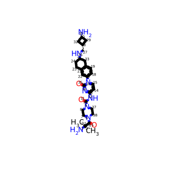 CC(C)(N)C(=O)N1CCN(C(=O)Nc2ccn(-c3ccc4c(c3)CCC(NC[C@H]3C[C@@H](N)C3)C4)c(=O)n2)CC1